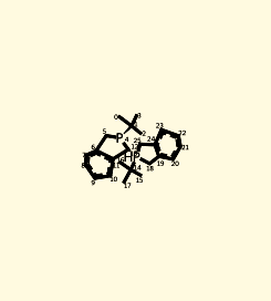 CC(C)(C)[P@]1Cc2ccccc2[C@H]1[PH]1(C(C)(C)C)Cc2ccccc2C1